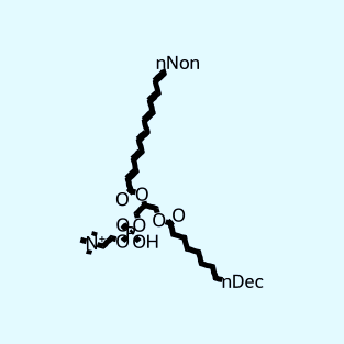 CCCCCCCCCC=CC=CC=CC=CC=CC=CC(=O)OC(COC(=O)CCCCCCCCCCCCCCCCC)COP(=O)(O)OCC[N+](C)(C)C